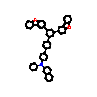 c1ccc(N(c2ccc(-c3ccc(-c4cc(-c5ccc6oc7ccccc7c6c5)cc(-c5ccc6oc7ccccc7c6c5)c4)cc3)cc2)c2ccc3ccccc3c2)cc1